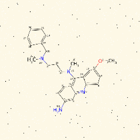 COc1ccc2nc3cc(N)ccc3c(N(C)CCCN(C)Cc3ccccc3)c2c1